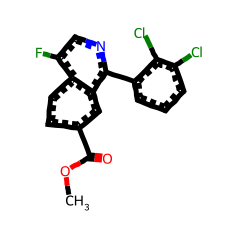 COC(=O)c1ccc2c(F)cnc(-c3cccc(Cl)c3Cl)c2c1